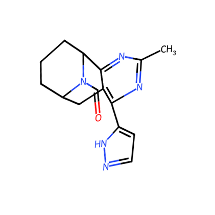 Cc1nc(-c2ccn[nH]2)c2c(n1)C1CCCC(C2)N1C=O